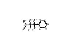 F[C](F)C(F)(F)C(F)(F)c1ccccc1